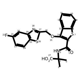 CC(C)(NC(=O)c1sc2ccccc2c1OCc1nc2cc(F)ccc2s1)C(=O)O